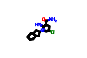 N=c1c(C(N)=O)cc(Cl)cn1C1Cc2ccccc2C1